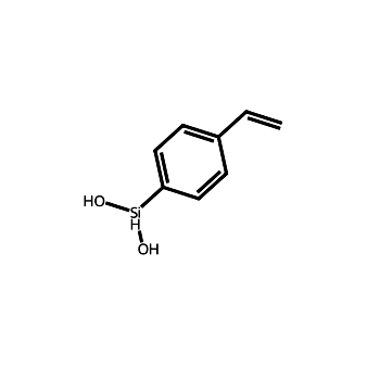 C=Cc1ccc([SiH](O)O)cc1